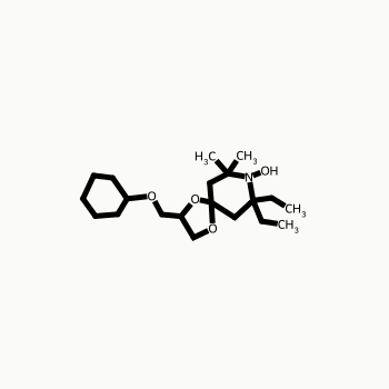 CCC1(CC)CC2(CC(C)(C)N1O)OCC(COC1CCCCC1)O2